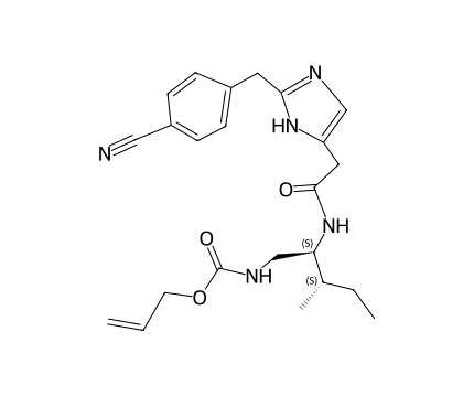 C=CCOC(=O)NC[C@@H](NC(=O)Cc1cnc(Cc2ccc(C#N)cc2)[nH]1)[C@@H](C)CC